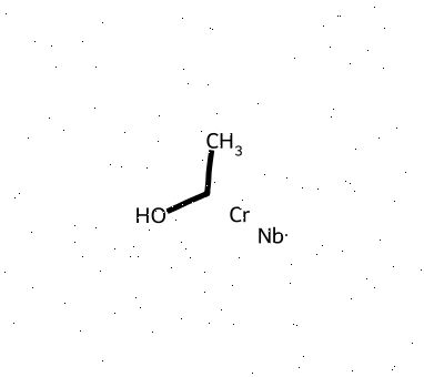 CCO.[Cr].[Nb]